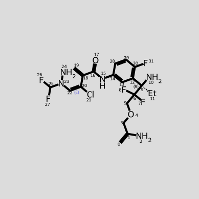 C=C(N)COCC(F)(F)[C@@](N)(CC)c1cc(NC(=O)C(=C)/C(Cl)=C\N(N)C(F)F)ccc1F